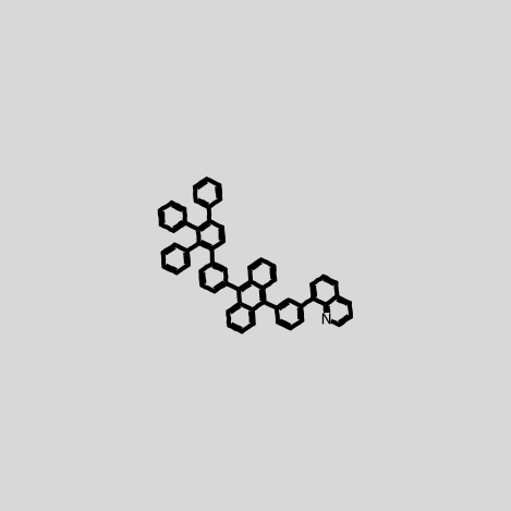 c1ccc(-c2ccc(-c3cccc(-c4c5ccccc5c(-c5cccc(-c6cccc7cccnc67)c5)c5ccccc45)c3)c(-c3ccccc3)c2-c2ccccc2)cc1